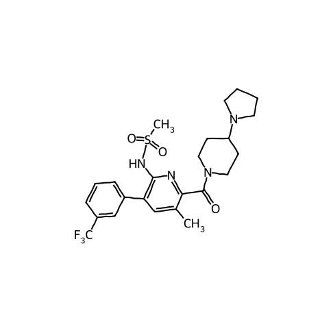 Cc1cc(-c2cccc(C(F)(F)F)c2)c(NS(C)(=O)=O)nc1C(=O)N1CCC(N2CCCC2)CC1